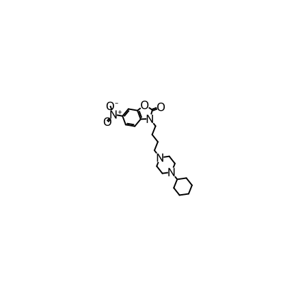 O=c1oc2cc([N+](=O)[O-])ccc2n1CCCCN1CCN(C2CCCCC2)CC1